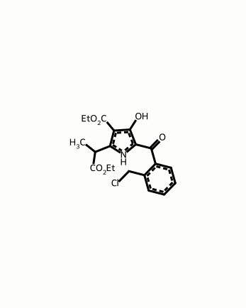 CCOC(=O)c1c(C(C)C(=O)OCC)[nH]c(C(=O)c2ccccc2CCl)c1O